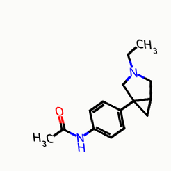 CCN1CC2CC2(c2ccc(NC(C)=O)cc2)C1